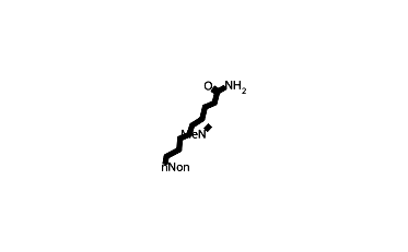 CCCCCCCCCCCCCCCCCC(N)=O.CNC